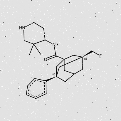 CC1(C)CNCCC1NC(=O)C12CC3C[C@@](CF)(C1)C[C@](c1ccccc1)(C3)C2